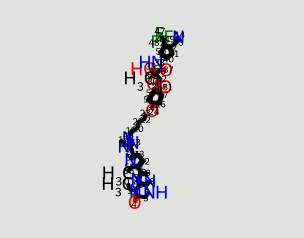 CCN1C(=O)CNc2ncc(-c3ccc(-c4ncn(CCCCCOc5ccc(S(=O)(=O)C[C@](C)(O)C(=O)Nc6ccc(C#N)c(C(F)(F)F)c6)cc5)n4)nc3C)nc21